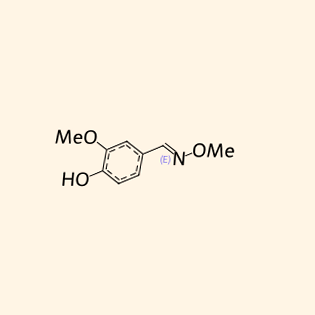 CO/N=C/c1ccc(O)c(OC)c1